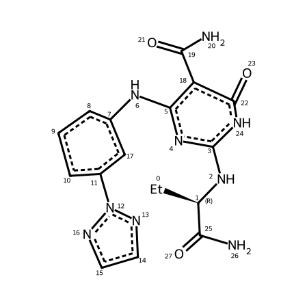 CC[C@@H](Nc1nc(Nc2cccc(-n3nccn3)c2)c(C(N)=O)c(=O)[nH]1)C(N)=O